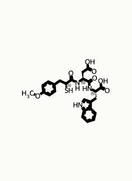 COc1ccc(C[C@H](S)C(=O)N[C@@H](CC(=O)O)C(=O)N[C@@H](Cc2c[nH]c3ccccc23)C(=O)O)cc1